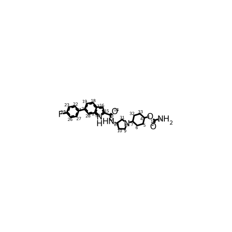 NC(=O)OC1CCC(N2CC[C@H](NC(=O)c3cc4ccc(-c5ccc(F)cc5)cc4[nH]3)C2)CC1